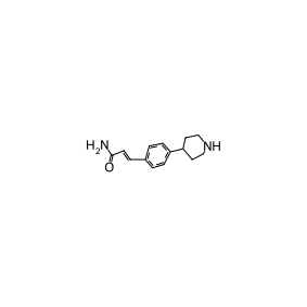 NC(=O)C=Cc1ccc(C2CCNCC2)cc1